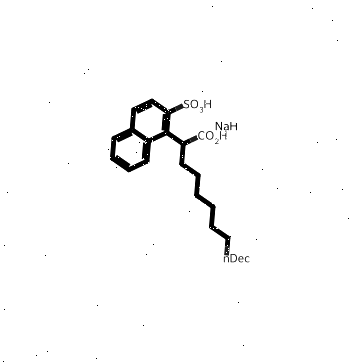 CCCCCCCCCCCCCCCCC(C(=O)O)c1c(S(=O)(=O)O)ccc2ccccc12.[NaH]